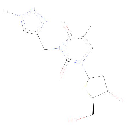 Cc1cn(C2CC(O)[C@@H](CO)S2)c(=O)n(Cc2cn([11CH3])nn2)c1=O